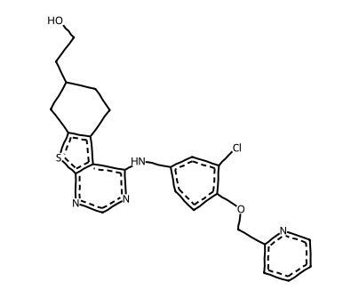 OCCC1CCc2c(sc3ncnc(Nc4ccc(OCc5ccccn5)c(Cl)c4)c23)C1